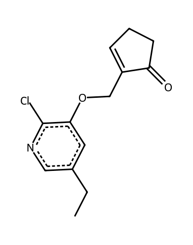 CCc1cnc(Cl)c(OCC2=CCCC2=O)c1